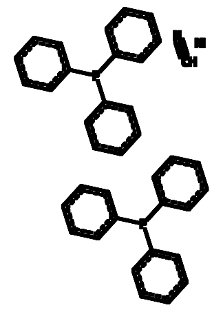 C#N.[Ni].c1ccc(P(c2ccccc2)c2ccccc2)cc1.c1ccc(P(c2ccccc2)c2ccccc2)cc1